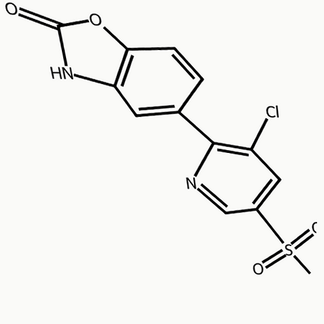 CS(=O)(=O)c1cnc(-c2ccc3oc(=O)[nH]c3c2)c(Cl)c1